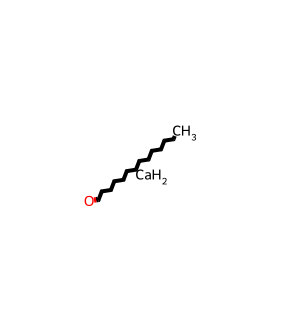 CCCCCCCCCCCCCC=O.[CaH2]